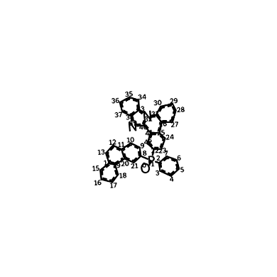 O=P(c1ccccc1)(c1ccc2ccc3ccccc3c2c1)c1ccc2c3ccccc3n3c4ccccc4nc3c2c1